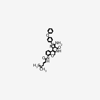 CN(C)C/C=C/C(=O)Nc1cccc2c1OCc1[nH]c(=O)c3c(N)n(-c4ccc(Oc5ccccc5)cc4)nc3c1-2